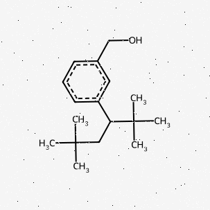 CC(C)(C)CC(c1cccc(CO)c1)C(C)(C)C